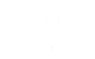 O=Nc1nccn1CO[C@@H](CO)[C@H](O)CO